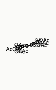 CC(=O)OC[C@H]1OC[C@](OC(C)=O)(C2CCc3cc(-c4ccc(-c5ccc6c(c5)CC[C@]5(O6)O[C@H](COC(C)=O)[C@@H](OC(C)=O)[C@H](OC(C)=O)[C@@H]5OC(C)=O)cc4)ccc3O2)[C@@H](OC(C)=O)[C@@H]1OC(C)=O